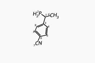 CC(P)c1ccc(C#N)cc1